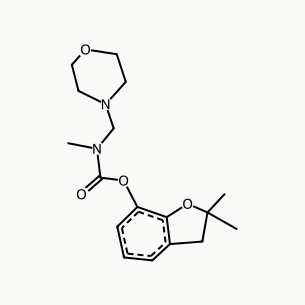 CN(CN1CCOCC1)C(=O)Oc1cccc2c1OC(C)(C)C2